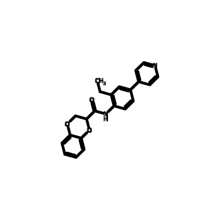 CCc1cc(-c2ccncc2)ccc1NC(=O)C1COc2ccccc2O1